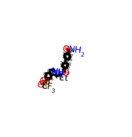 CCC(CC1NCCc2ccc(OS(=O)(=O)C(F)(F)F)cc21)NC(=O)c1ccc(-c2ccc(C(N)=O)cc2)cc1